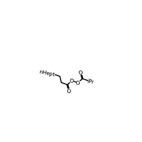 CCCCCCCCCC(=O)OOC(=O)C(C)C